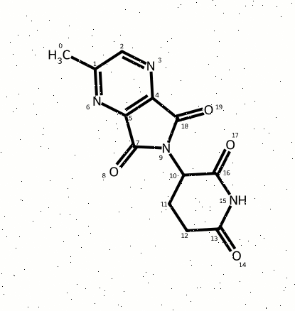 Cc1cnc2c(n1)C(=O)N(C1CCC(=O)NC1=O)C2=O